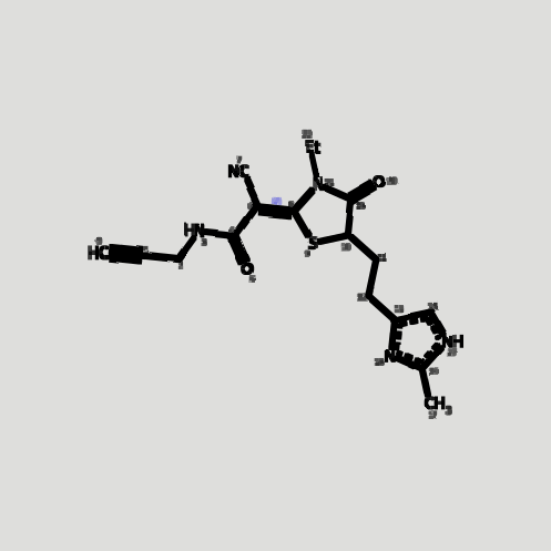 C#CCNC(=O)/C(C#N)=C1\SC(CCc2c[nH]c(C)n2)C(=O)N1CC